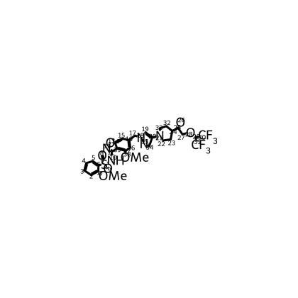 COc1ccccc1S(=O)(=O)Nc1noc2cc(Cn3cc(N4CCC(C(=O)COC(C(F)(F)F)C(F)(F)F)CC4)cn3)cc(OC)c12